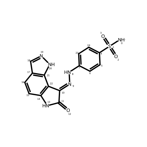 [NH]S(=O)(=O)c1ccc(N/N=C2/C(=O)Nc3ccc4cn[nH]c4c32)cc1